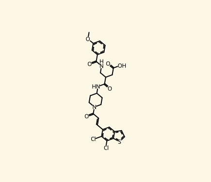 COc1cccc(C(=O)NCC(CC(=O)O)C(=O)NC2CCN(C(=O)C=Cc3cc4ccsc4c(Cl)c3Cl)CC2)c1